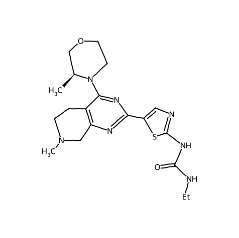 CCNC(=O)Nc1ncc(-c2nc3c(c(N4CCOC[C@@H]4C)n2)CCN(C)C3)s1